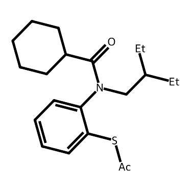 CCC(CC)CN(C(=O)C1CCCCC1)c1ccccc1SC(C)=O